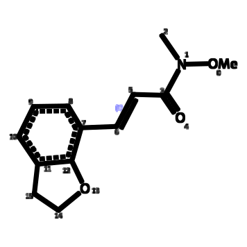 CON(C)C(=O)/C=C/c1cccc2c1OCC2